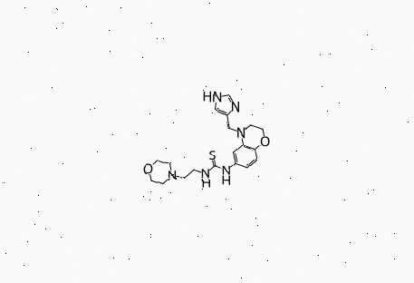 S=C(NCCN1CCOCC1)Nc1ccc2c(c1)N(Cc1c[nH]cn1)CCO2